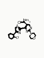 NC(=O)c1cnc(N2CCOCC2)nc1-c1nc(-c2ccccc2Cl)cs1